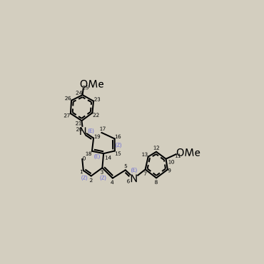 C\C=C/C(=C/C=N/c1ccc(OC)cc1)C(/C=C\C)=C/C=N/c1ccc(OC)cc1